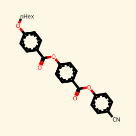 CCCCCCOc1ccc(C(=O)Oc2ccc(C(=O)Oc3ccc(C#N)cc3)cc2)cc1